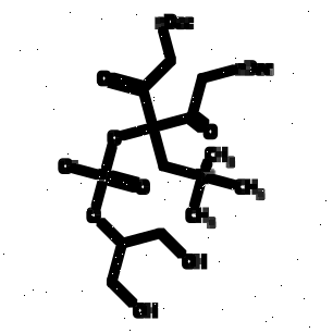 CCCCCCCCCCCC(=O)C(C[N+](C)(C)C)(OP(=O)([O-])OC(CO)CO)C(=O)CCCCCCCCCCC